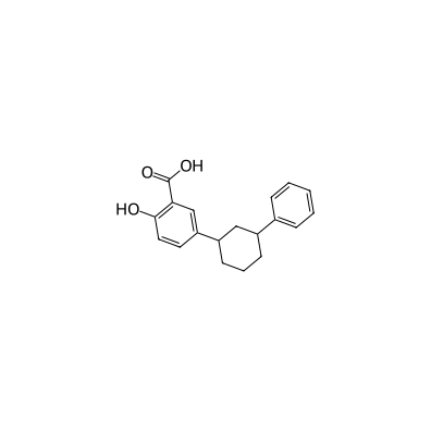 O=C(O)c1cc(C2CCCC(c3ccccc3)C2)ccc1O